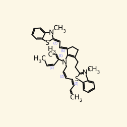 C=C/C=C\C=C/CN(C1=C(CCc2sc3ccccc3[n+]2C)CC/C1=C\C=C1/Sc2ccccc2N1C)C(/C=C\C)=C/C